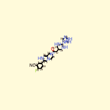 N#Cc1cc(C2=CN3C=C[N+](C(=O)CC4CNC(N5C=NNN5)NC4)=CC3=CN2)ccc1F